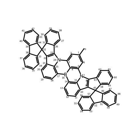 Cc1cc2c3c(c1)-n1c4c(c5cccc(c51)B3c1cccc3c5c(n-2c13)-c1ccccc1C51c2ccccc2-c2ccccc21)C1(c2ccccc2-c2ccccc21)c1ccccc1-4